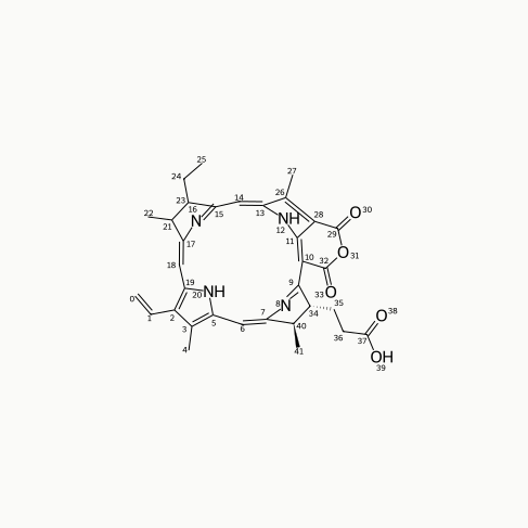 C=Cc1c(C)c2cc3nc(c4c5[nH]c(cc6nc(cc1[nH]2)C(C)C6CC)c(C)c5C(=O)OC4=O)[C@H](CCC(=O)O)[C@H]3C